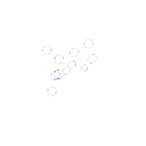 c1ccc(-c2cc(-c3cnc(-c4ccccc4)nc3)nc(-c3ccc4c(c3)C3(c5ccccc5-c5ccccc5-4)c4ccccc4-c4c3ccc3c4oc4ccccc43)n2)cc1